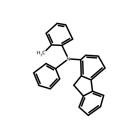 Cc1ccccc1N(c1ccccc1)c1cccc2c1Cc1ccccc1-2